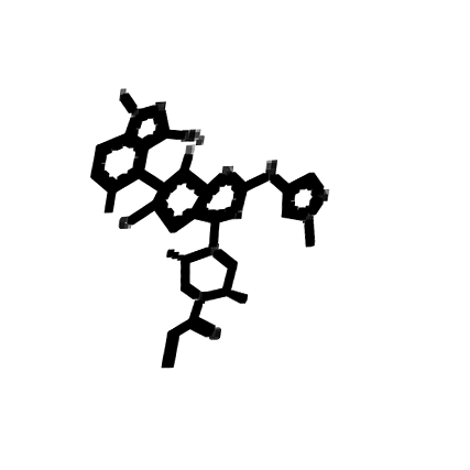 C=CC(=O)N1C[C@H](C)N(c2nc(Nc3cnn(C)c3)nc3c(F)c(-c4c(C)ccc5c4c(N)nn5I)c(Cl)cc23)C[C@H]1C